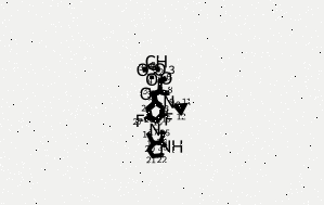 CS(=O)(=O)OC(=O)c1cn(C2CC2)c2c(F)c(N3CC4CCCNC4C3)c(F)cc2c1=O